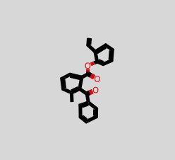 C=Cc1ccccc1OC(=O)c1cccc(C)c1C(=O)c1ccccc1